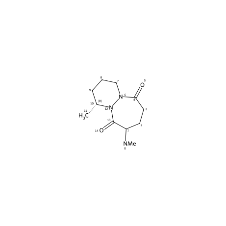 CNC1CCC(=O)N2CCC[C@@H](C)N2C1=O